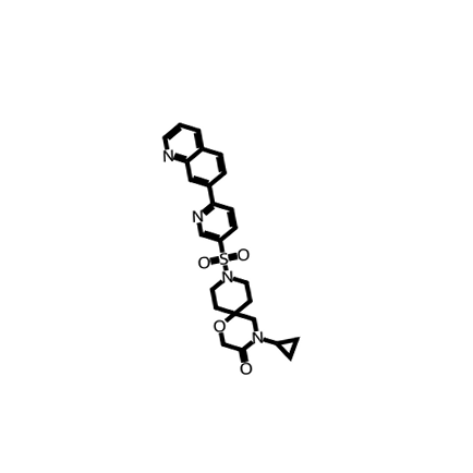 O=C1COC2(CCN(S(=O)(=O)c3ccc(-c4ccc5cccnc5c4)nc3)CC2)CN1C1CC1